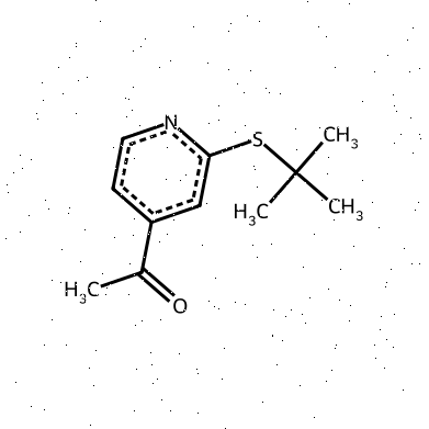 CC(=O)c1ccnc(SC(C)(C)C)c1